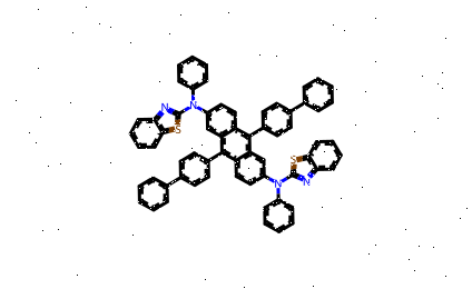 c1ccc(-c2ccc(-c3c4ccc(N(c5ccccc5)c5nc6ccccc6s5)cc4c(-c4ccc(-c5ccccc5)cc4)c4ccc(N(c5ccccc5)c5nc6ccccc6s5)cc34)cc2)cc1